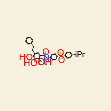 CCN(C(=O)c1cc(CCc2ccccc2)c(O)c(O)c1O)c1ccc(S(=O)(=O)c2ccc(C(C)C)cc2)cc1